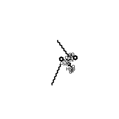 CCCCCCCCCCCCCCOc1ccccc1NC(=O)C(C1=Nc2ccccc2S(=O)(=O)N1CCCCCCCCCCCC)n1cc(C(=O)NS(C)(=O)=O)cn1